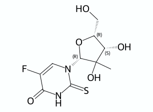 CC1(O)[C@@H](O)[C@@H](CO)O[C@H]1n1cc(F)c(=O)[nH]c1=S